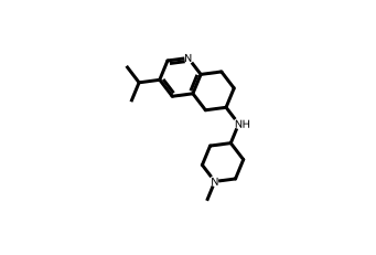 CC(C)c1cnc2c(c1)CC(NC1CCN(C)CC1)CC2